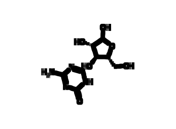 Nc1nc[nH]c(=O)n1.OC[C@H]1OC(O)[C@@H](O)[C@@H]1O